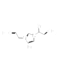 C=CC[n+]1ccn(C(Br)C=C)c1.[Br-]